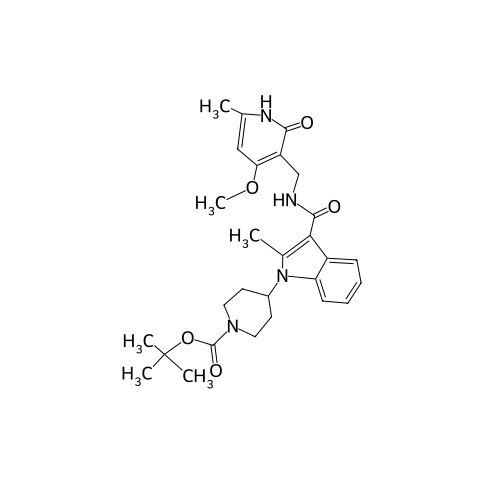 COc1cc(C)[nH]c(=O)c1CNC(=O)c1c(C)n(C2CCN(C(=O)OC(C)(C)C)CC2)c2ccccc12